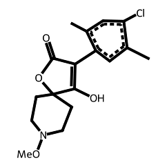 CON1CCC2(CC1)OC(=O)C(c1cc(C)c(Cl)cc1C)=C2O